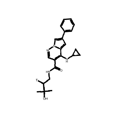 CC(C)(O)C(F)CNC(=O)c1cnn2cc(-c3ccccc3)cc2c1NC1CC1